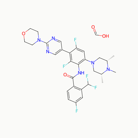 C[C@@H]1CN(c2cc(F)c(-c3cnc(N4CCOCC4)nc3)c(F)c2NC(=O)c2ccc(F)cc2C(F)F)C[C@H](C)N1C.O=CO